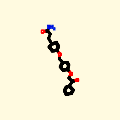 NC(=O)CCc1ccc(OCc2ccc(OCC(=O)c3ccccc3)cc2)cc1